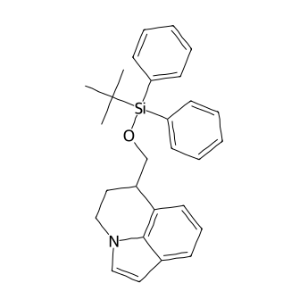 CC(C)(C)[Si](OCC1CCn2ccc3cccc1c32)(c1ccccc1)c1ccccc1